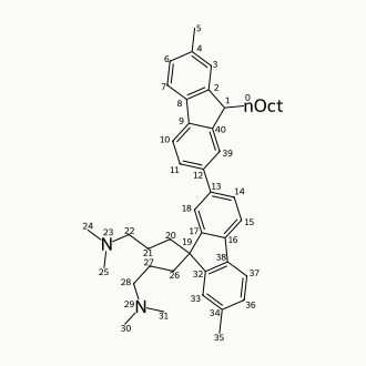 CCCCCCCCC1c2cc(C)ccc2-c2ccc(-c3ccc4c(c3)C(CCCN(C)C)(CCCN(C)C)c3cc(C)ccc3-4)cc21